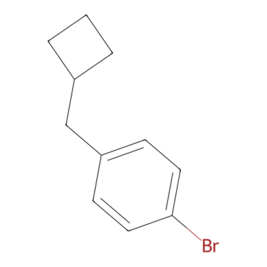 Brc1ccc(CC2CCC2)cc1